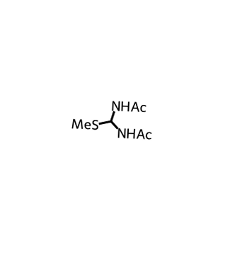 CSC(NC(C)=O)NC(C)=O